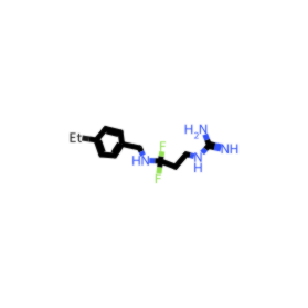 CCc1ccc(CNC(F)(F)CCNC(=N)N)cc1